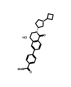 CNC(=O)c1ccc(-c2ccc3c(c2)CCN([C@@H]2CCN(C4CCC4)C2)C3=O)cc1.Cl